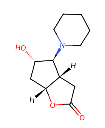 O=C1C[C@H]2[C@H](N3CCCCC3)[C@@H](O)C[C@H]2O1